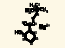 C[N+](C)(C)CCOC(=O)c1ccccc1O.[Mg+2]